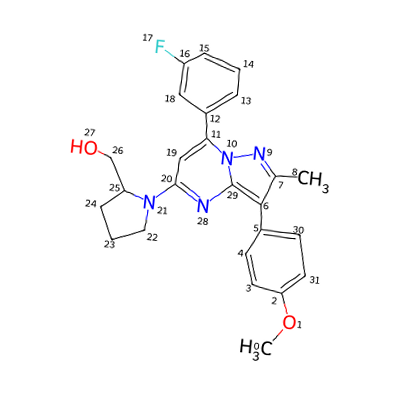 COc1ccc(-c2c(C)nn3c(-c4cccc(F)c4)cc(N4CCCC4CO)nc23)cc1